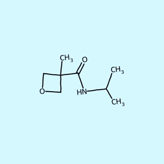 CC(C)NC(=O)C1(C)COC1